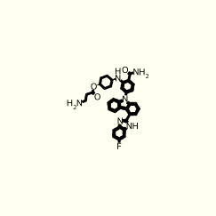 NCCC(=O)O[C@H]1CC[C@H](Nc2cc(-n3c4ccccc4c4c(-c5nc6ccc(F)cc6[nH]5)cccc43)ccc2C(N)=O)CC1